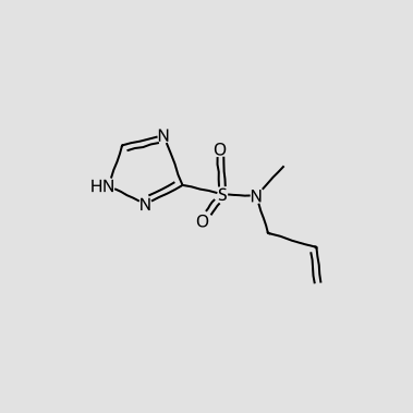 C=CCN(C)S(=O)(=O)c1nc[nH]n1